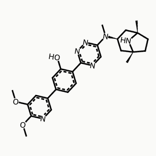 COc1cc(-c2ccc(-c3ncc(N(C)[C@H]4C[C@]5(C)CC[C@](C)(C4)N5)nn3)c(O)c2)cnc1OC